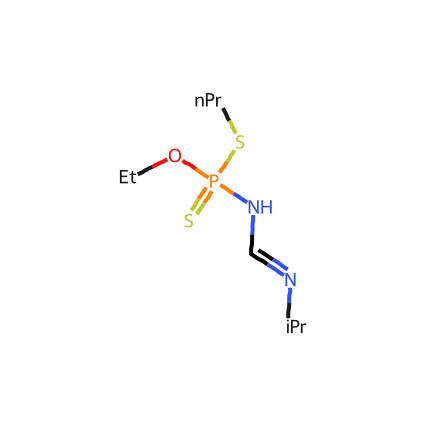 CCCSP(=S)(NC=NC(C)C)OCC